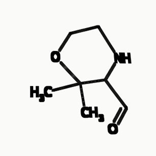 CC1(C)OCCNC1C=O